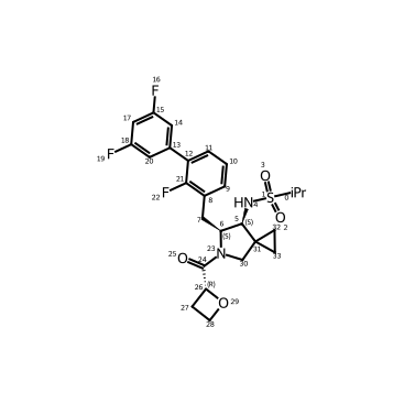 CC(C)S(=O)(=O)N[C@@H]1[C@H](Cc2cccc(-c3cc(F)cc(F)c3)c2F)N(C(=O)[C@H]2CCO2)CC12CC2